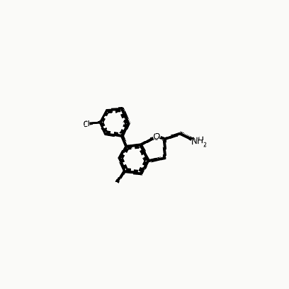 Cc1cc2c(c(-c3cccc(Cl)c3)c1)OC(CN)C2